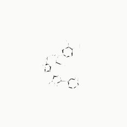 Cc1[nH]c(-c2cccnc2)nc1-c1cnn2c1C(=O)N(c1ccc(C(F)(F)F)c(Cl)c1)C[C@@H]2C